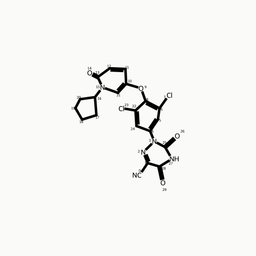 N#Cc1nn(-c2cc(Cl)c(Oc3ccc(=O)n(C4CCCC4)c3)c(Cl)c2)c(=O)[nH]c1=O